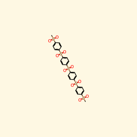 CS(=O)(=O)c1ccc(S(=O)(=O)c2ccc(S(=O)(=O)c3ccc(S(=O)(=O)c4ccc(S(C)(=O)=O)cc4)cc3)cc2)cc1